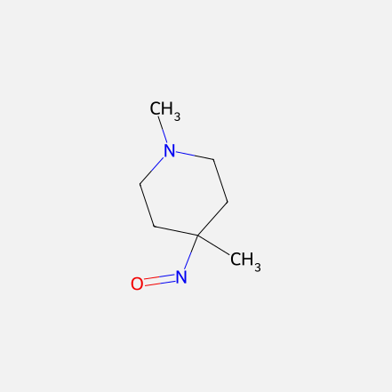 CN1CCC(C)(N=O)CC1